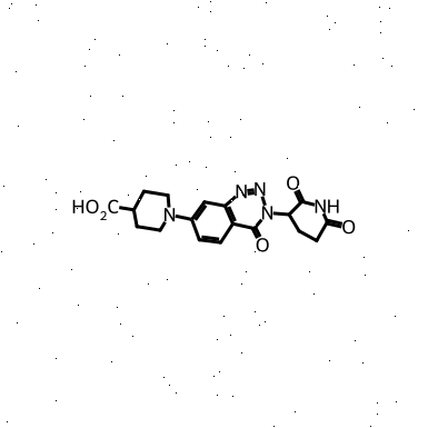 O=C1CCC(n2nnc3cc(N4CCC(C(=O)O)CC4)ccc3c2=O)C(=O)N1